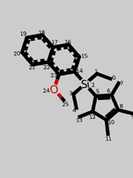 CC[Si](CC)(C1=C(C)C(C)=C(C)C1C)c1ccc2ccccc2c1OC